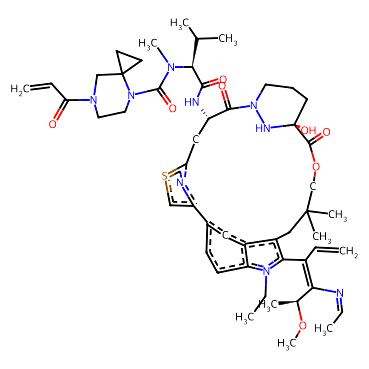 C=CC(=O)N1CCN(C(=O)N(C)[C@H](C(=O)N[C@H]2Cc3nc(cs3)-c3ccc4c(c3)c(c(/C(C=C)=C(/N=C\C)[C@H](C)OC)n4CC)CC(C)(C)COC(=O)[C@@]3(O)CCCN(N3)C2=O)C(C)C)C2(CC2)C1